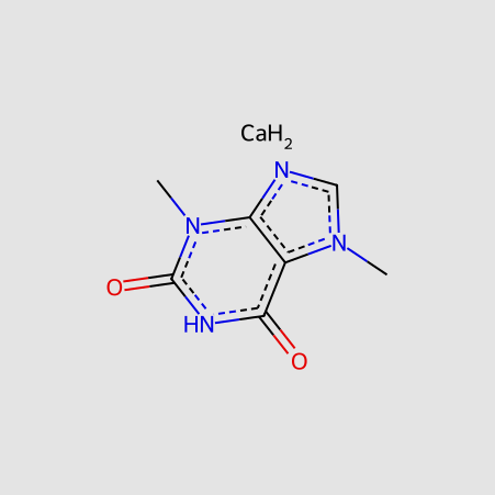 Cn1cnc2c1c(=O)[nH]c(=O)n2C.[CaH2]